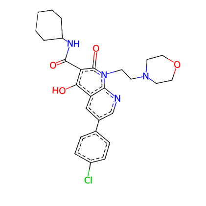 O=C(NC1CCCCC1)c1c(O)c2cc(-c3ccc(Cl)cc3)cnc2n(CCN2CCOCC2)c1=O